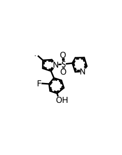 [CH2]c1cc(-c2ccc(O)cc2F)n(S(=O)(=O)c2cccnc2)c1